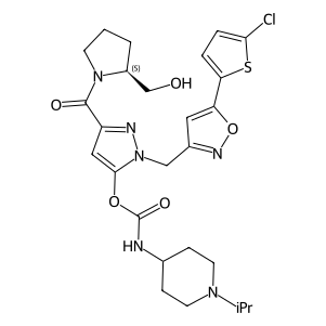 CC(C)N1CCC(NC(=O)Oc2cc(C(=O)N3CCC[C@H]3CO)nn2Cc2cc(-c3ccc(Cl)s3)on2)CC1